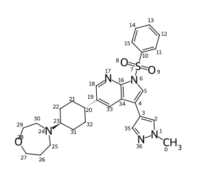 Cn1cc(-c2cn(S(=O)(=O)c3ccccc3)c3ncc([C@H]4CC[C@H](N5CCCOCC5)CC4)cc23)cn1